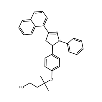 CC(C)(CCO)Oc1ccc(C2CC(c3cccc4ccccc34)=NN2c2ccccc2)cc1